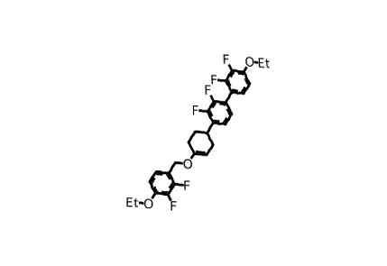 CCOc1ccc(COC2=CCC(c3ccc(-c4ccc(OCC)c(F)c4F)c(F)c3F)CC2)c(F)c1F